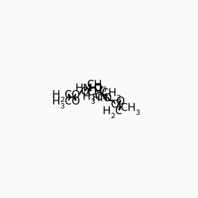 C=C(C)C(=O)OCCONC(C)(C)c1cccc(C(C)(C)NOCCOC(=O)C(=C)C)c1